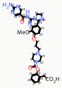 COc1c(OCCCN2CCN(C(=O)Oc3ccccc3CC(=O)O)CC2)ccc2c1N=C(NC(=O)c1cnc(N)nc1)N1CCN=C21